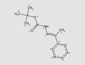 CC(=NNC(=O)OC(C)(C)C)c1cccnc1